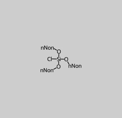 CCCCCCCCCO[Si](Cl)(OCCCCCCCCC)OCCCCCCCCC